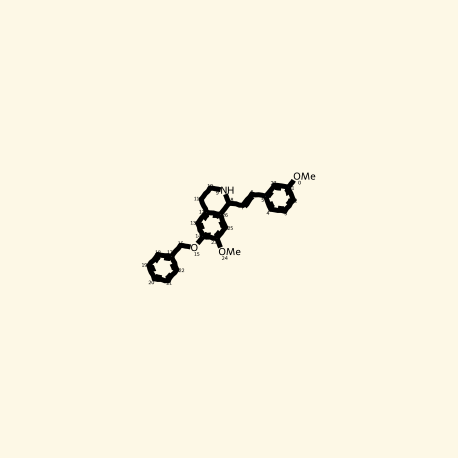 COc1cccc(C=CC2NCCc3cc(OCc4ccccc4)c(OC)cc32)c1